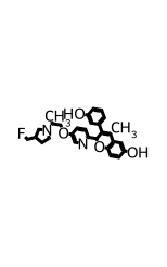 CC1=C(c2cccc(O)c2)C(c2ccc(OCC(C)N3CCC(CF)C3)cn2)Oc2ccc(O)cc21